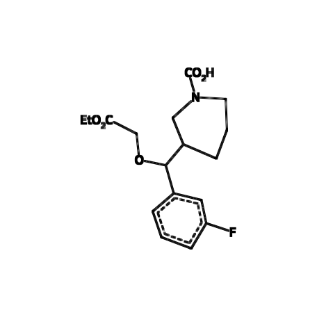 CCOC(=O)COC(c1cccc(F)c1)C1CCCN(C(=O)O)C1